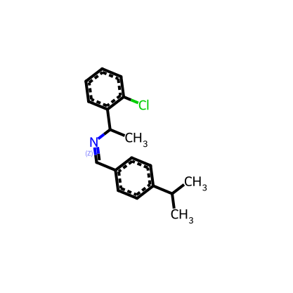 CC(C)c1ccc(/C=N\C(C)c2ccccc2Cl)cc1